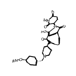 CO[C@H]1CC[C@H](CN2CCC(c3ccc4c(c3Cl)C(O)N(C3CCC(=O)NC3=O)C4=O)CC2)CC1